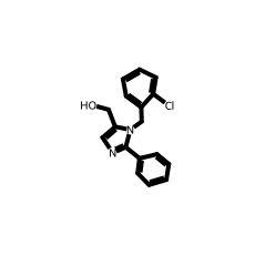 OCc1cnc(-c2ccccc2)n1Cc1ccccc1Cl